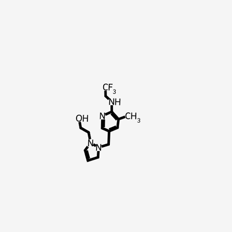 Cc1cc(CN2CC=CN2CCO)cnc1NCC(F)(F)F